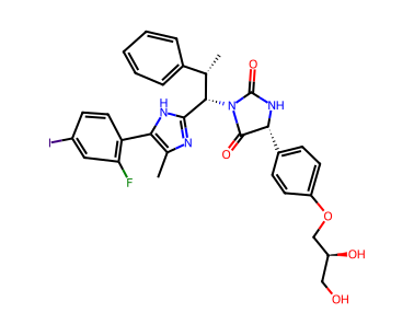 Cc1nc([C@H]([C@@H](C)c2ccccc2)N2C(=O)N[C@H](c3ccc(OC[C@@H](O)CO)cc3)C2=O)[nH]c1-c1ccc(I)cc1F